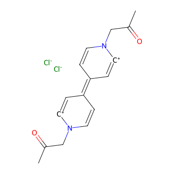 CC(=O)CN1[C+]=CC(=C2C=[C+]N(CC(C)=O)C=C2)C=C1.[Cl-].[Cl-]